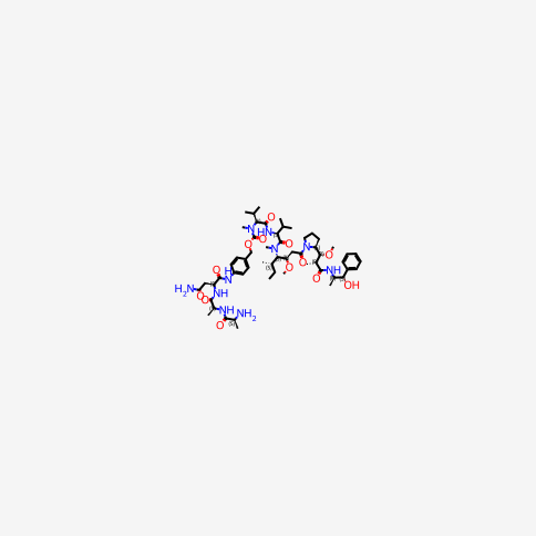 CC[C@H](C)[C@@H]([C@@H](CC(=O)N1CCC[C@H]1[C@H](OC)[C@@H](C)C(=O)N[C@H](C)[C@@H](O)c1ccccc1)OC)N(C)C(=O)[C@@H](NC(=O)[C@H](C(C)C)N(C)C(=O)OCc1ccc(NC(=O)[C@H](CC(N)=O)NC(=O)[C@H](C)NC(=O)[C@H](C)N)cc1)C(C)C